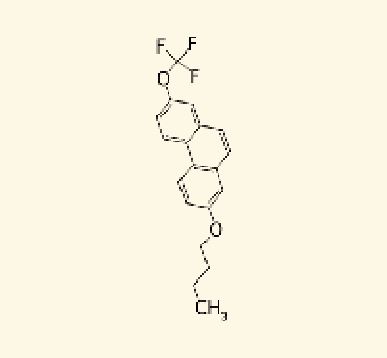 CCCCOc1ccc2c(ccc3cc(OC(F)(F)F)ccc32)c1